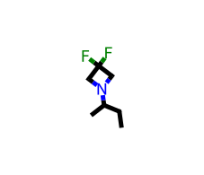 CCC(C)N1CC(F)(F)C1